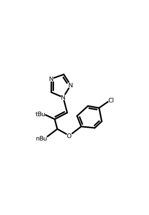 CCCCC(Oc1ccc(Cl)cc1)C(=Cn1cncn1)C(C)(C)C